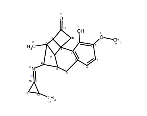 COc1ccc2c(c1O)C13CC(=O)C1C1(C)C(/N=C4/CC4C)C(C2)C31